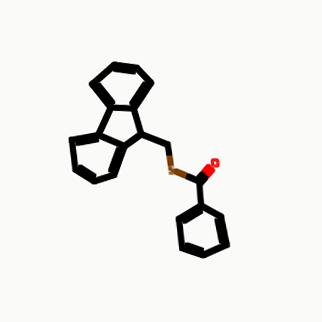 O=C(SCC1c2ccccc2-c2ccccc21)c1ccccc1